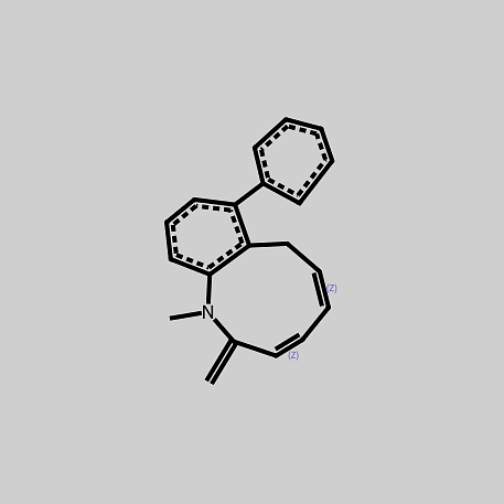 C=C1/C=C\C=C/Cc2c(-c3ccccc3)cccc2N1C